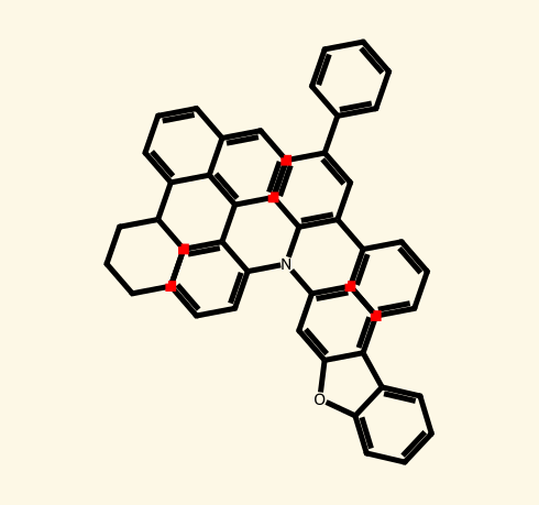 c1ccc(-c2ccc(N(c3ccc4c(c3)oc3ccccc34)c3ccccc3-c3cccc4cccc(C5CCCCC5)c34)c(-c3ccccc3)c2)cc1